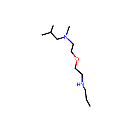 CCCNCCOCCN(C)CC(C)C